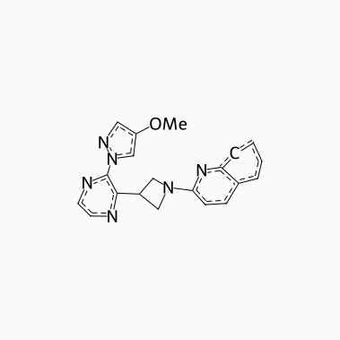 COc1cnn(-c2nccnc2C2CN(c3ccc4ccccc4n3)C2)c1